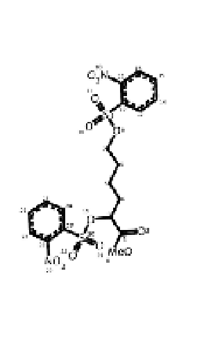 COC(=O)C(CCCCOS(=O)(=O)c1ccccc1[N+](=O)[O-])OS(=O)(=O)c1ccccc1[N+](=O)[O-]